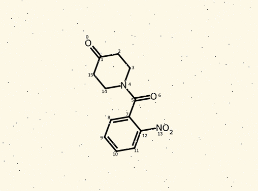 O=C1CCN(C(=O)c2ccccc2[N+](=O)[O-])CC1